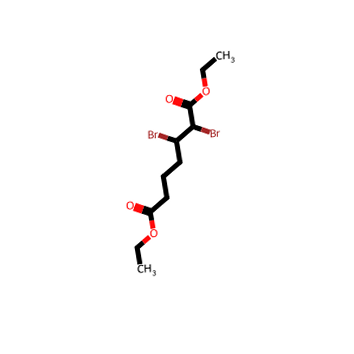 CCOC(=O)CCCC(Br)C(Br)C(=O)OCC